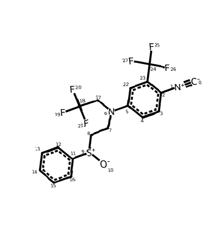 [C-]#[N+]c1ccc(N(CC[S+]([O-])c2ccccc2)CC(F)(F)F)cc1C(F)(F)F